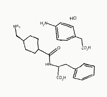 Cl.NCC1CCC(C(=O)NC(Cc2ccccc2)C(=O)O)CC1.Nc1ccc(CC(=O)O)cc1